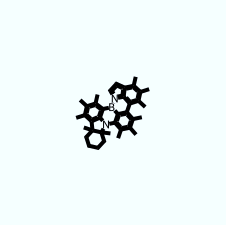 Cc1c(C)c2c3c(c1C)N1c4c(c(C)c(C)c(C)c4C4(C)CCCCC14C)B3n1ccc3c(C)c(C)c(C)c-2c31